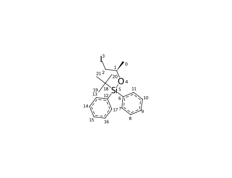 C[C@H](CI)O[Si](c1ccccc1)(c1ccccc1)C(C)(C)C